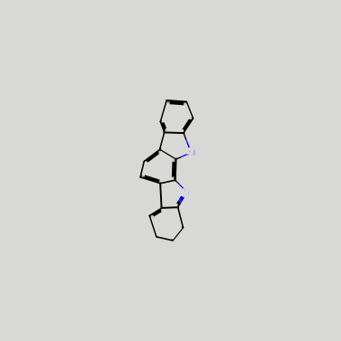 C1=C2C(=Nc3c2ccc2c3[nH]c3ccccc32)CCC1